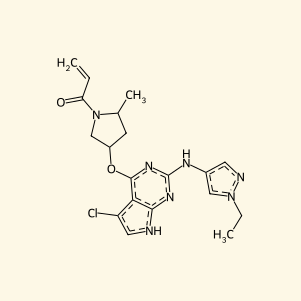 C=CC(=O)N1CC(Oc2nc(Nc3cnn(CC)c3)nc3[nH]cc(Cl)c23)CC1C